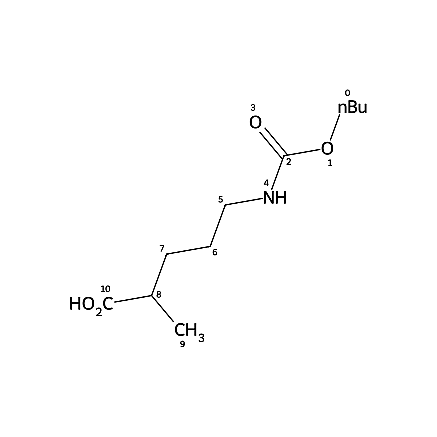 CCCCOC(=O)NCCCC(C)C(=O)O